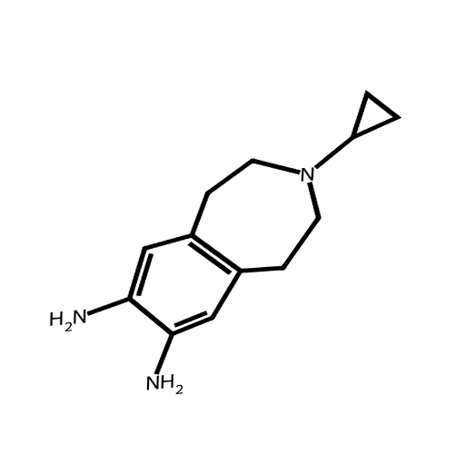 Nc1cc2c(cc1N)CCN(C1CC1)CC2